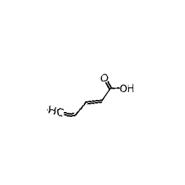 [CH]=C/C=C/C(=O)O